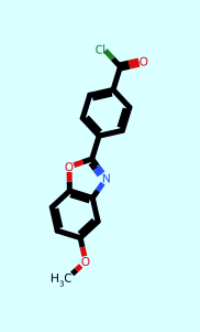 COc1ccc2oc(-c3ccc(C(=O)Cl)cc3)nc2c1